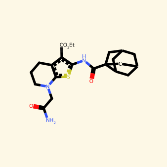 CCOC(=O)c1c(NC(=O)C23CC4CC(CC2C4)C3)sc2c1CCCN2CC(N)=O